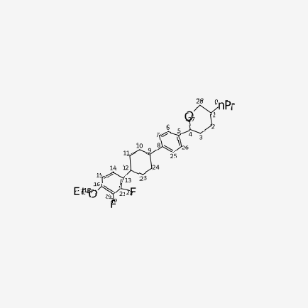 CCCC1CCC(c2ccc(C3CCC(c4ccc(OCC)c(F)c4F)CC3)cc2)OC1